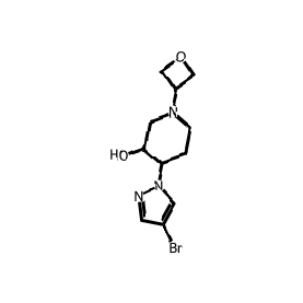 OC1CN(C2COC2)CCC1n1cc(Br)cn1